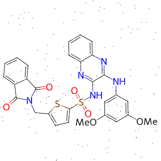 COc1cc(Nc2nc3ccccc3nc2NS(=O)(=O)c2ccc(CN3C(=O)c4ccccc4C3=O)s2)cc(OC)c1